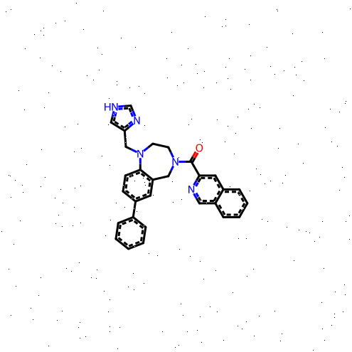 O=C(c1cc2ccccc2cn1)N1CCN(Cc2c[nH]cn2)c2ccc(-c3ccccc3)cc2C1